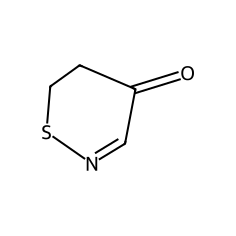 O=C1C=NSCC1